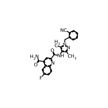 Cc1nn(Cc2ccccc2C#N)c(C)c1NC(=O)c1cc(C(N)=O)c2cc(F)ccc2n1